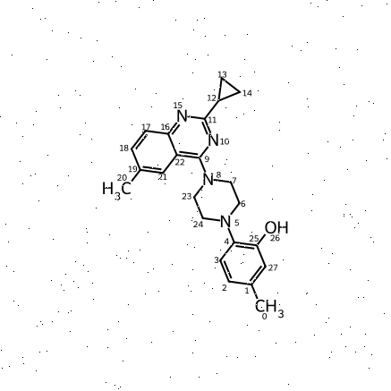 Cc1ccc(N2CCN(c3nc(C4CC4)nc4ccc(C)cc34)CC2)c(O)c1